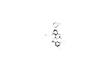 COc1cc([C@@H]2CNCCO2)cc2nc(C)nc(NC(C)c3cc([N+](=O)[O-])cc(C(F)(F)F)c3)c12